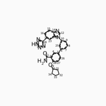 NC(=O)c1cc(-c2cccc(-n3cnc4ccc(-c5nn[nH]n5)cc43)c2)ccc1OC1CCCC1